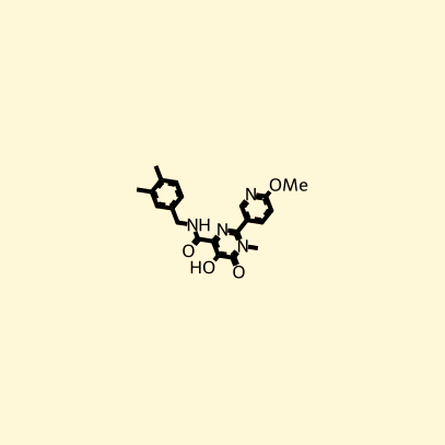 COc1ccc(-c2nc(C(=O)NCc3ccc(C)c(C)c3)c(O)c(=O)n2C)cn1